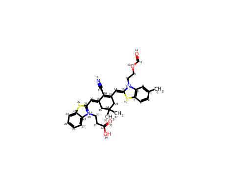 Cc1ccc2c(c1)N(CCOC=O)/C(=C/C1=C(C#N)C(=C/c3sc4ccccc4[n+]3CCC(=O)O)/CC(C)(C)C1)S2